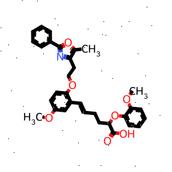 COc1ccc(OCCc2nc(-c3ccccc3)oc2C)c(C=CCCC(Oc2ccccc2OC)C(=O)O)c1